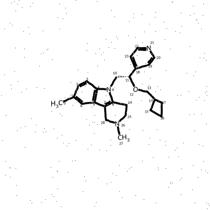 Cc1ccc2c(c1)c1c(n2C[C@@H](OCC2CCC2)c2ccncc2)CCN(C)C1